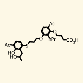 CCCc1c(OCCCSc2ccc(C(C)=O)c(O)c2CC(C)O)ccc(C(C)=O)c1OCCCC(=O)O